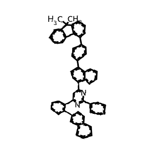 CC1(C)c2ccccc2-c2c(-c3ccc(-c4ccc(-c5cc(-c6ccccc6-c6ccc7ccccc7c6)nc(-c6ccccc6)n5)c5ccccc45)cc3)cccc21